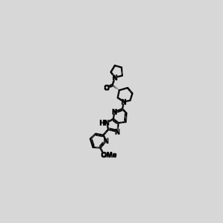 COc1cccc(-c2nc3ccc(N4CCC[C@@H](C(=O)N5CCCC5)C4)nc3[nH]2)n1